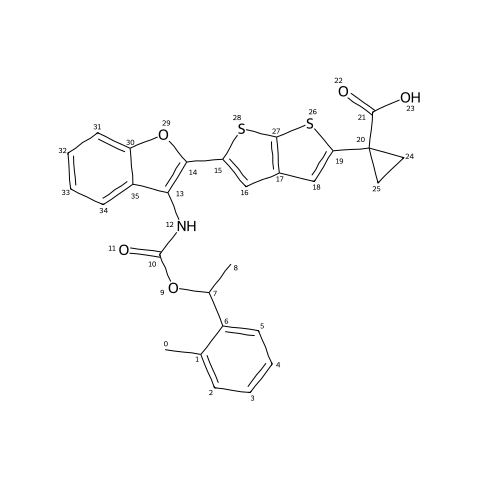 Cc1ccccc1C(C)OC(=O)Nc1c(-c2cc3cc(C4(C(=O)O)CC4)sc3s2)oc2ccccc12